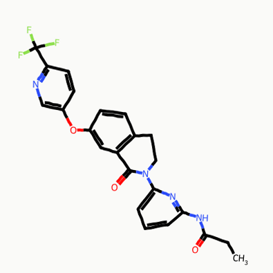 CCC(=O)Nc1cccc(N2CCc3ccc(Oc4ccc(C(F)(F)F)nc4)cc3C2=O)n1